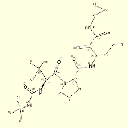 CCC[C@H](NC(=O)[C@@H]1CCCN1C(=O)[C@@H](NC(=O)NC(C)(C)C)C(C)(C)C)C(=O)C(=O)NC1CC1